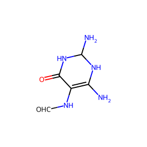 NC1=C(NC=O)C(=O)NC(N)N1